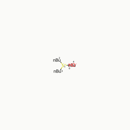 CCCC[S+](CCCC)CCCC.[OH-]